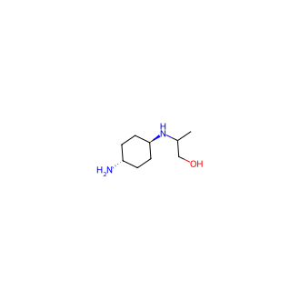 CC(CO)N[C@H]1CC[C@H](N)CC1